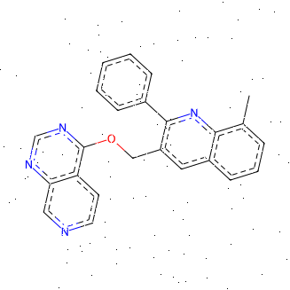 Cc1cccc2cc(COc3ncnc4cnccc34)c(-c3ccccc3)nc12